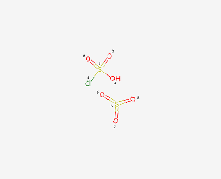 O=S(=O)(O)Cl.O=S(=O)=O